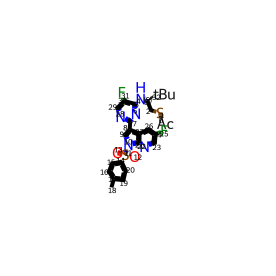 CC(=O)SC[C@@H](Nc1nc(-c2cn(S(=O)(=O)c3ccc(C)cc3)c3ncc(F)cc23)ncc1F)C(C)(C)C